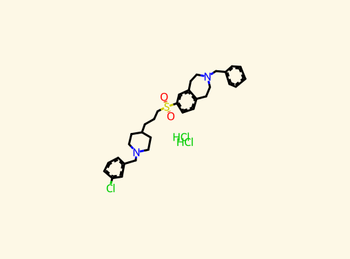 Cl.Cl.O=S(=O)(CCCC1CCN(Cc2cccc(Cl)c2)CC1)c1ccc2c(c1)CCN(Cc1ccccc1)CC2